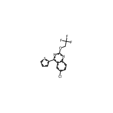 FC(F)(F)COc1nc(-c2cccs2)c2cc(Cl)ccc2n1